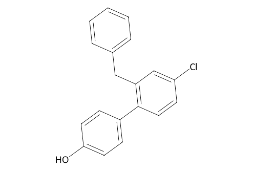 Oc1ccc(-c2ccc(Cl)cc2Cc2ccccc2)cc1